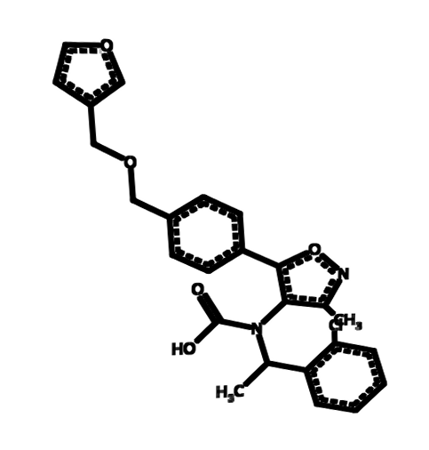 Cc1noc(-c2ccc(COCc3ccoc3)cc2)c1N(C(=O)O)C(C)c1ccccc1Cl